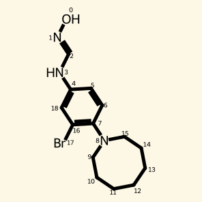 O/N=C/Nc1ccc(N2CCCCCCC2)c(Br)c1